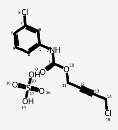 O=C(Nc1cccc(Cl)c1)OCC#CCCl.O=S(=O)(O)O